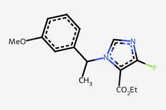 CCOC(=O)c1c(F)ncn1C(C)c1cccc(OC)c1